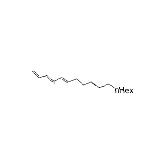 C=C/C=[C]/C=C/CCCCCCCCCCC